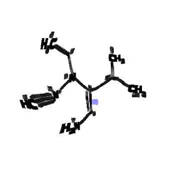 C#[N+]N(CC)/C(=C\N)C(C)C